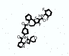 O=C(Nc1ccc(C(=O)N2CCc3c(sc(C(=O)Nc4c(F)cccc4F)c3F)-c3ccccc32)cc1)c1cccnc1N1CC2(CCOCC2)C1